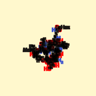 CCCCCCS(=O)(=O)NCCCCNCc1c(O)cc2c(c1O)-c1cc(ccc1O)[C@H]1NC(=O)[C@@H]3NC(=O)[C@H](CC(=O)NC(=O)NC4CC4)NC(=O)[C@H](NC(=O)[C@@H](CC(C)C)NC)[C@H](O)c4ccc(c(C)c4)Oc4cc3cc(c4O[C@@H]3O[C@H](CO)[C@@H](O)[C@H](O)[C@H]3O[C@H]3C[C@](C)(N)[C@H](O)[C@H](C)O3)Oc3ccc(cc3Cl)[C@@H](O)[C@H](NC1=O)C(=O)N[C@@H]2C(=O)NC1C2CC3CC(C2)CC1C3